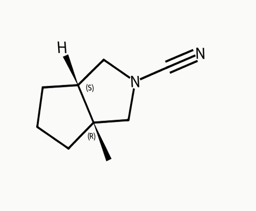 C[C@@]12CCC[C@@H]1CN(C#N)C2